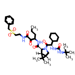 CCCC(NC(=O)[C@@H]1[C@@H]2[C@H](CN1C(=O)[C@@H](NC(=O)NC(C)(C)C)C1CCCCC1)C2(C)C)C(=O)C(=O)NCCS(=O)(=O)Cc1ccccc1